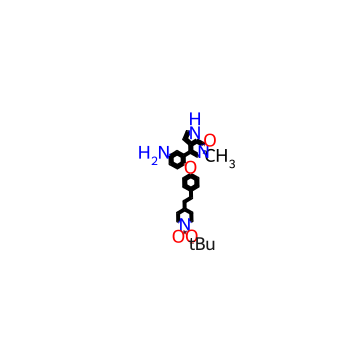 Cn1cc(-c2cc(N)ccc2Oc2ccc(CCC3CCN(C(=O)OC(C)(C)C)CC3)cc2)c2cc[nH]c2c1=O